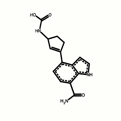 NC(=O)c1ccc(C2=CC(NC(=O)O)CC2)c2cc[nH]c12